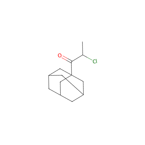 CC(Cl)C(=O)C12CC3CC(CC(C3)C1)C2